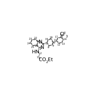 CCOC(=O)CCNc1nc(-c2ccc(-c3cccc(C(F)(F)F)c3)cc2)nc2ccccc12